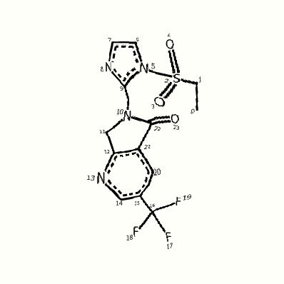 CCS(=O)(=O)n1ccnc1N1Cc2ncc(C(F)(F)F)cc2C1=O